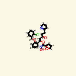 O=C(C=Cc1ccccn1)C=C(OC(=NO)c1ccco1)c1ccccc1OCc1ccccc1Cl